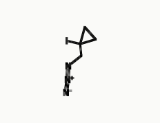 [N-]=[N+]=NCC1(I)CC1